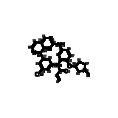 C=CC(=O)Nc1cc(Nc2ncc3ccnc(-c4cccc(Cl)c4)c3n2)ccc1OC1CCN(C)C1